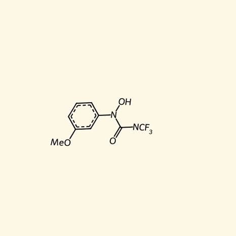 COc1cccc(N(O)C(=O)NC(F)(F)F)c1